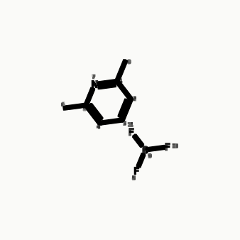 Cc1cccc(C)n1.FB(F)F